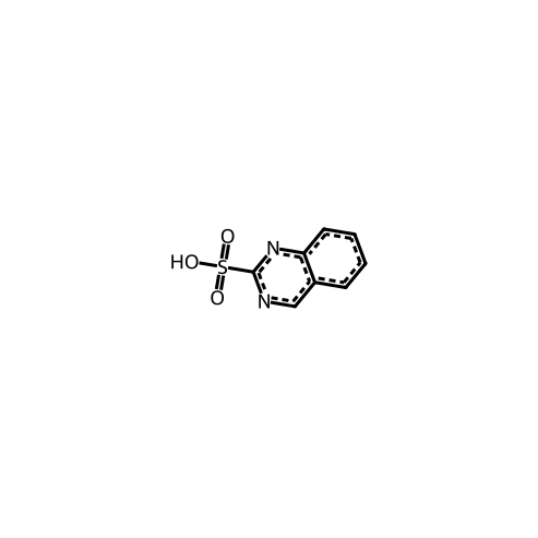 O=S(=O)(O)c1ncc2ccccc2n1